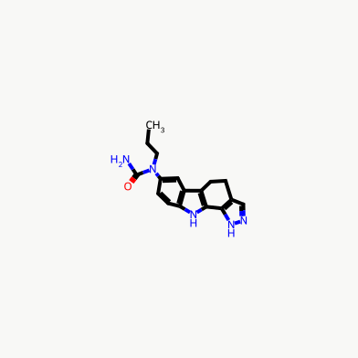 CCCN(C(N)=O)c1ccc2[nH]c3c(c2c1)CCc1cn[nH]c1-3